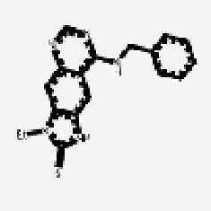 CCn1c(=S)[nH]c2cc3c(NCc4ccccc4)ncnc3cc21